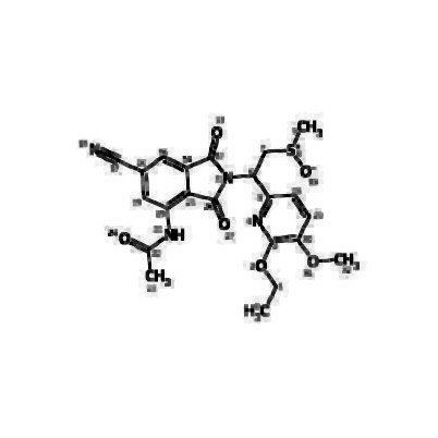 CCOc1nc(C(C[S+](C)[O-])N2C(=O)c3cc(C#N)cc(NC(C)=O)c3C2=O)ccc1OC